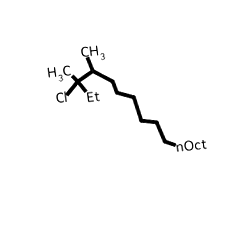 CCCCCCCCCCCCCCC(C)C(C)(Cl)CC